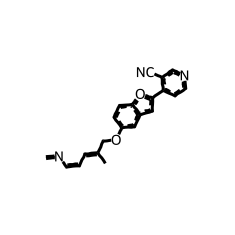 C=N/C=C\C=C(/C)COc1ccc2oc(-c3ccncc3C#N)cc2c1